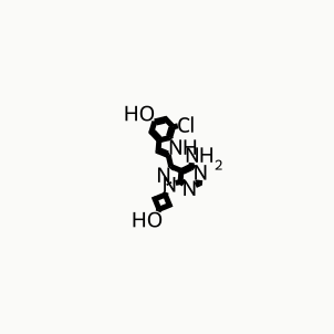 Nc1ncnc2c1c(-c1cc3cc(O)cc(Cl)c3[nH]1)nn2C1CC(O)C1